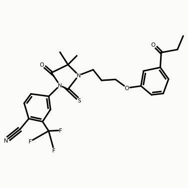 CCC(=O)c1cccc(OCCCN2C(=S)N(c3ccc(C#N)c(C(F)(F)F)c3)C(=O)C2(C)C)c1